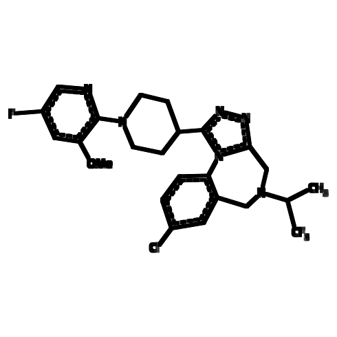 COc1cc(F)cnc1N1CCC(c2nnc3n2-c2ccc(Cl)cc2CN(C(C)C(F)(F)F)C3)CC1